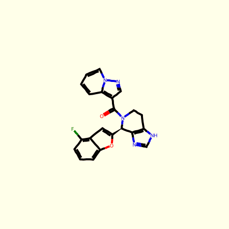 O=C(c1cnn2ccccc12)N1CCc2[nH]cnc2[C@H]1c1cc2c(F)cccc2o1